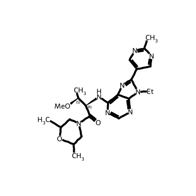 CCn1c(-c2cnc(C)nc2)nc2c(N[C@@H](C(=O)N3CC(C)OC(C)C3)[C@H](C)OC)ncnc21